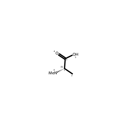 [CH2]N[C@@H](C)C(=O)O